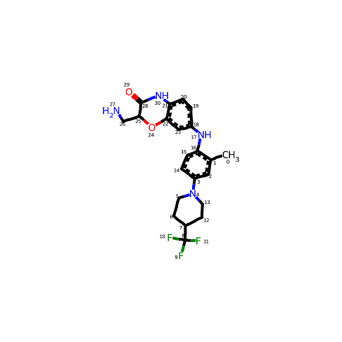 Cc1cc(N2CCC(C(F)(F)F)CC2)ccc1Nc1ccc2c(c1)OC(CN)C(=O)N2